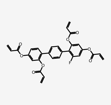 C=CC(=O)Oc1ccc(-c2ccc(-c3c(F)cc(OC(=O)C=C)cc3OC(=O)C=C)cc2)c(OC(=O)C=C)c1